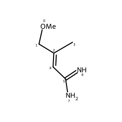 COC/C(C)=C/C(=N)N